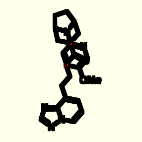 COc1ccc(N2C3CCC2CN(C(=O)CCCc2cccn4ncnc24)C3)nc1